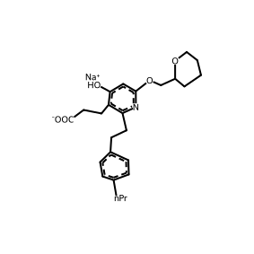 CCCc1ccc(CCc2nc(OCC3CCCCO3)cc(O)c2CCC(=O)[O-])cc1.[Na+]